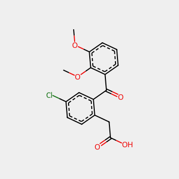 COc1cccc(C(=O)c2cc(Cl)ccc2CC(=O)O)c1OC